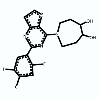 OC1CCN(c2nc(-c3cc(F)c(Cl)cc3F)nc3ccsc23)CCC1O